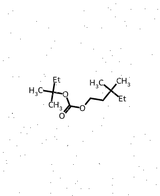 CCC(C)(C)CCOC(=O)OC(C)(C)CC